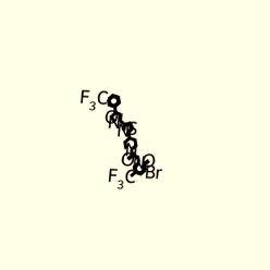 O=C(Cn1cc(C(F)(F)F)cc(Br)c1=O)N1CCC(c2nc(C3=NOC(c4cccc(C(F)(F)F)c4)C3)cs2)CC1